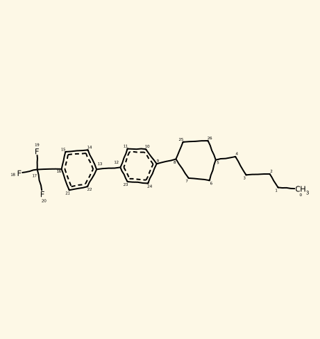 CCCCCC1CCC(c2ccc(-c3ccc(C(F)(F)F)cc3)cc2)CC1